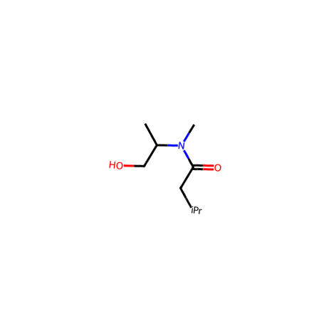 CC(C)CC(=O)N(C)C(C)CO